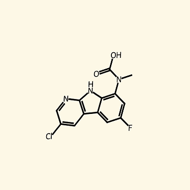 CN(C(=O)O)c1cc(F)cc2c1[nH]c1ncc(Cl)cc12